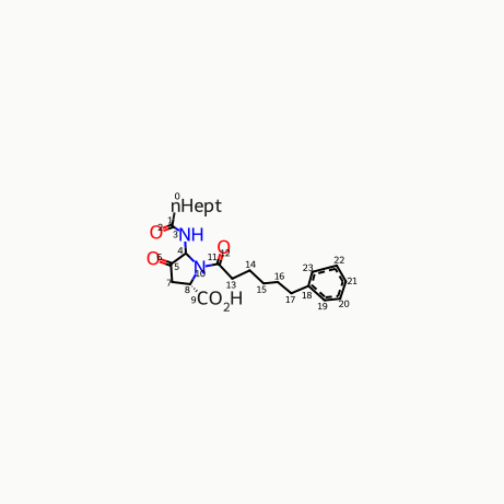 CCCCCCCC(=O)NC1C(=O)C[C@@H](C(=O)O)N1C(=O)CCCCCc1ccccc1